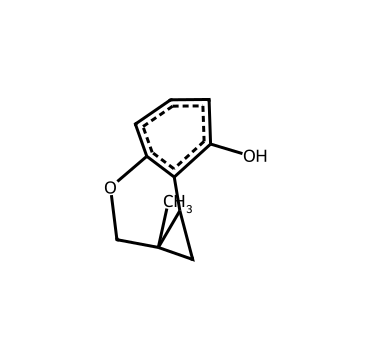 CC12COc3cccc(O)c3C1C2